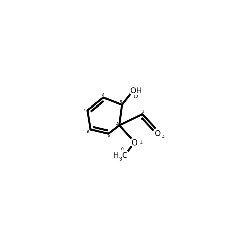 COC1(C=O)C=CC=CC1O